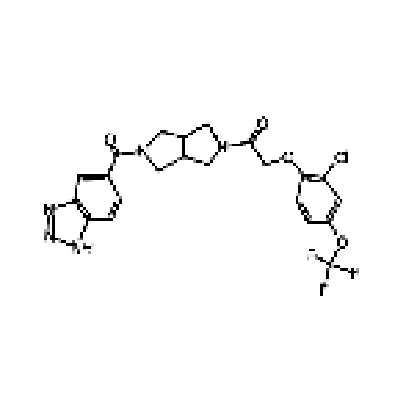 O=C(COc1ccc(OC(F)(F)F)cc1Cl)N1CC2CN(C(=O)c3ccc4[nH]nnc4c3)CC2C1